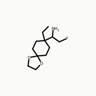 CCC1(C(N)CF)CCC2(CC1)OCCO2